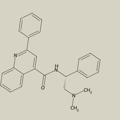 CN(C)C[C@H](NC(=O)c1cc(-c2ccccc2)nc2ccccc12)c1ccccc1